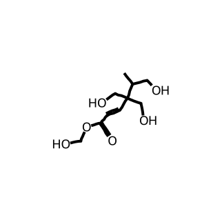 CC(CO)C(C=CC(=O)OCO)(CO)CO